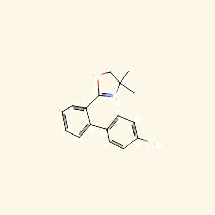 CC1(C)COC(c2ccccc2-c2ccc(Cl)cc2)=N1